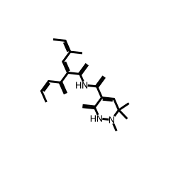 C=C(NC(=C)/C(=C\C(C)=C/C)C(=C)/C=C\C)C1=CC(C)(C)N(C)NC1=C